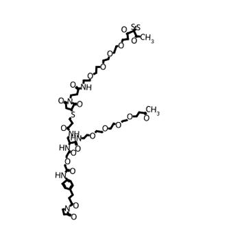 CC(=O)CCOCCOCCOCCOCCNC(=O)C(CNC(=O)CCSC1CC(=O)N(CCC(=O)NCCOCCOCCOCCOCCC(=O)C2(C(C)=O)SS2)C1=O)NC(=O)COCC(=O)Nc1ccc(CCC(=O)N2CCC2=O)cc1